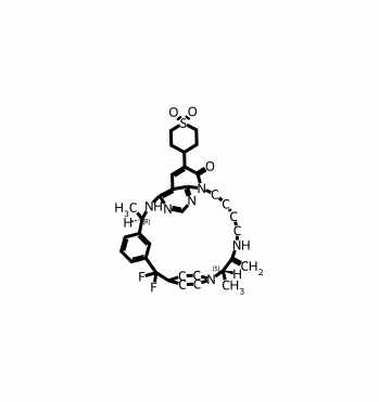 C=C1NCCCCn2c(=O)c(C3CCS(=O)(=O)CC3)cc3c(ncnc32)N[C@H](C)c2cccc(c2)C(F)(F)C2CCN(CC2)[C@H]1C